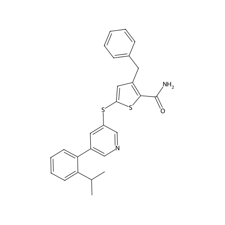 CC(C)c1ccccc1-c1cncc(Sc2cc(Cc3ccccc3)c(C(N)=O)s2)c1